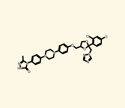 Cc1n[nH]c(=O)n1-c1ccc(N2CCN(c3ccc(OCC4COC(Cn5cncn5)(c5ccc(Cl)cc5Cl)O4)cc3)CC2)cc1